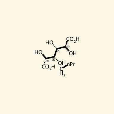 CCCC.O=C(O)[C@@H](O)[C@@H](O)[C@H](O)[C@@H](O)C(=O)O